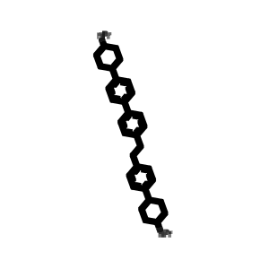 CCCC1CCC(c2ccc(CCc3ccc(-c4ccc(C5CCC(CCC)CC5)cc4)cc3)cc2)CC1